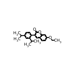 CCOc1ccc2cc(-c3ccc(C(C)C)cc3C(C)C)c(=O)oc2c1